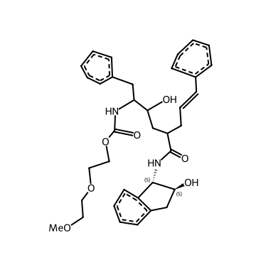 COCCOCCOC(=O)NC(Cc1ccccc1)C(O)CC(CC=Cc1ccccc1)C(=O)N[C@H]1c2ccccc2C[C@@H]1O